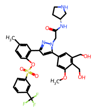 COc1cc(-c2cc(-c3cc(C)ccc3OS(=O)(=O)c3cccc(C(F)(F)F)c3)nn2CC(=O)N[C@@H]2CCNC2)cc(CO)c1CO